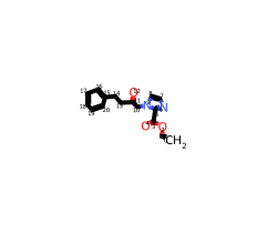 C=COC(=O)c1nccn1CC(=O)CCc1ccccc1